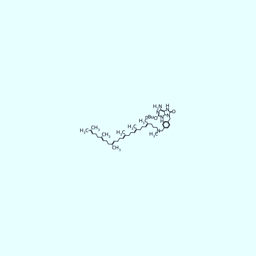 CCCCOC1=NC(N)=C2NC(=O)N(Cc3ccc(CN(C)CCC/C(C)=C/CC/C(C)=C/CC/C(C)=C/CC/C=C(\C)CC/C=C(\C)CCC=C(C)C)cc3)C2N1